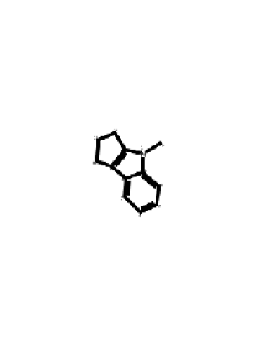 Cn1c2c(c3ccccc31)CCC2